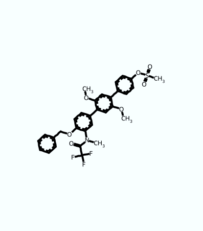 COc1cc(-c2ccc(OCc3ccccc3)c(N(C)C(=O)C(F)(F)F)c2)c(OC)cc1-c1ccc(OS(C)(=O)=O)cc1